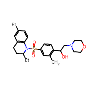 [CH2]c1cc(S(=O)(=O)N2c3ccc(CC)cc3CCC2CC)ccc1C(O)CN1CCOCC1